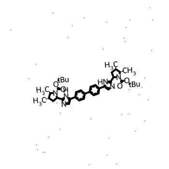 C[C@H]1CC(c2ncc(-c3ccc(-c4ccc(-c5cnc(C6C[C@H](C)[C@H](C)N6C(=O)OC(C)(C)C)[nH]5)cc4)cc3)[nH]2)N(C(=O)OC(C)(C)C)[C@H]1C